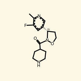 Cc1ncc([C@@H]2CCON2C(=O)C2CCNCC2)cc1F